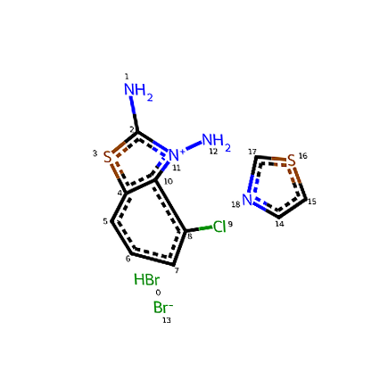 Br.Nc1sc2cccc(Cl)c2[n+]1N.[Br-].c1cscn1